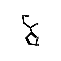 CCCCCCC(CC)c1cc[nH]n1